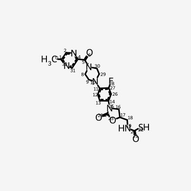 Cc1cnc(C(=O)N2CCN(c3ccc(N4CC(CNC(=O)S)OC4=O)cc3F)CC2)cn1